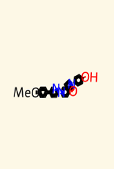 COc1ccc(-c2ccc(N3CCCC4(CCN([C@H]5CC[C@H](O)CC5)C4=O)C3)nc2)cc1